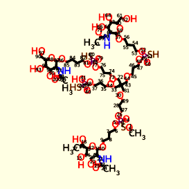 COSP(=O)(OCCCCOC(OC(CO)[C@@H](C)O)[C@H](CO)NC(C)=O)OCCCOCC(COCCCOP(=O)(O)S)(COCCCOP(=O)(S)OCCCCOC1OC(CO)C(O)C(O)C1NC(C)=O)COCCCOP(=O)(S)OCCCCOC1OC(CO)C(O)C(O)C1NC(C)=O